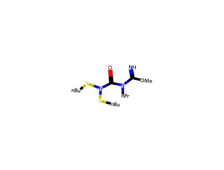 CCCCSN(SCCCC)C(=O)N(CCC)C(=N)OC